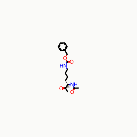 CC(=O)N[C@@H](CCCCNC(=O)OCc1ccccc1)C(C)=O